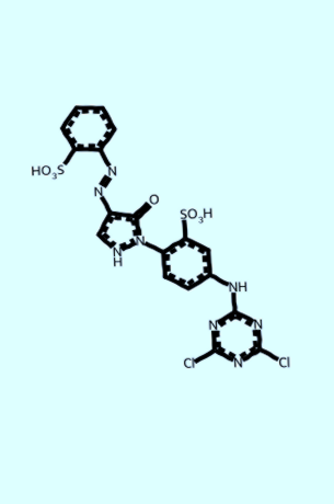 O=c1c(N=Nc2ccccc2S(=O)(=O)O)c[nH]n1-c1ccc(Nc2nc(Cl)nc(Cl)n2)cc1S(=O)(=O)O